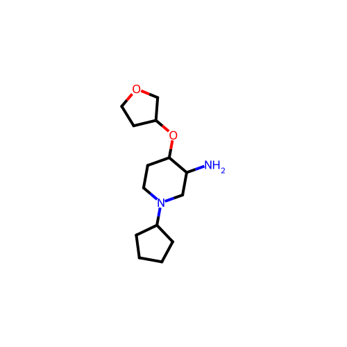 NC1CN(C2CCCC2)CCC1OC1CCOC1